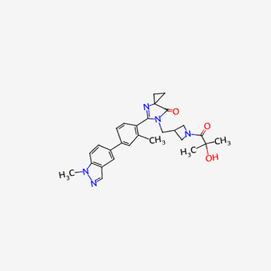 Cc1cc(-c2ccc3c(cnn3C)c2)ccc1C1=NC2(CC2)C(=O)N1CC1CN(C(=O)C(C)(C)O)C1